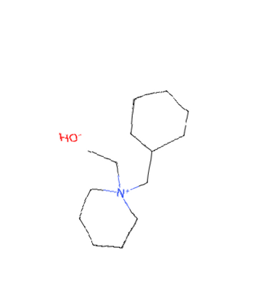 CC[N+]1(CC2CCCCC2)CCCCC1.[OH-]